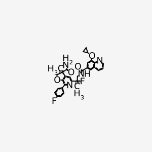 C[C@](F)(CNC(=O)c1cc(OC2CC2)c2ncccc2c1)c1cc2c(c(-c3ccc(F)cc3)n1)OC[C@]2(C)C(N)=O